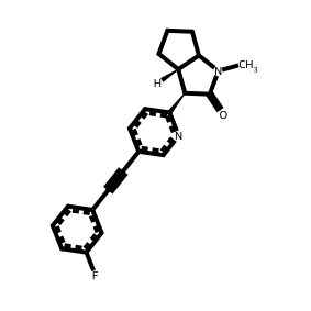 CN1C(=O)[C@@H](c2ccc(C#Cc3cccc(F)c3)cn2)[C@@H]2CCCC21